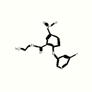 CCOC(=O)c1cc([N+](=O)[O-])ccc1Oc1cncc(Cl)c1